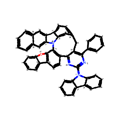 c1ccc(-c2nc(-n3c4ccccc4c4ccccc43)nc3c2Cc2ccc4c5cc6ccccc6cc5n(c4c2)-c2c-3ccc3c2oc2ccccc23)cc1